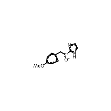 COc1ccc(C[S+]([O-])c2ncc[nH]2)cc1